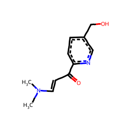 CN(C)/C=C/C(=O)c1ccc(CO)cn1